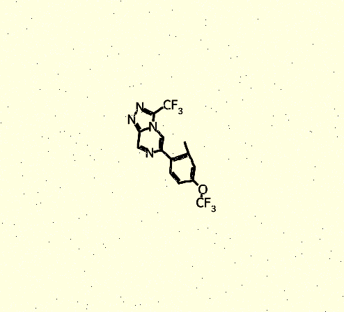 Cc1cc(OC(F)(F)F)ccc1-c1cn2c(C(F)(F)F)nnc2cn1